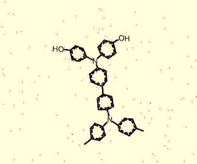 Cc1ccc(N(c2ccc(C)cc2)c2ccc(-c3ccc(N(c4ccc(O)cc4)c4ccc(O)cc4)cc3)cc2)cc1